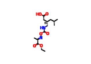 CCOC(=O)C(C)=NOC(=O)NC[C@H](CC(=O)O)CC(C)C